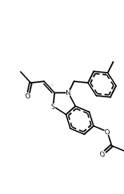 CC(=O)/C=C1\Sc2ccc(OC(C)=O)cc2N1Cc1cccc(C)c1